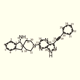 N[C@@H]1c2ccccc2CC12CCN(c1cnc3c(C#Cc4ccccc4)n[nH]c3n1)CC2